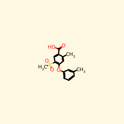 Cc1cccc(Oc2cc(C)c(C(=O)O)cc2S(C)(=O)=O)c1